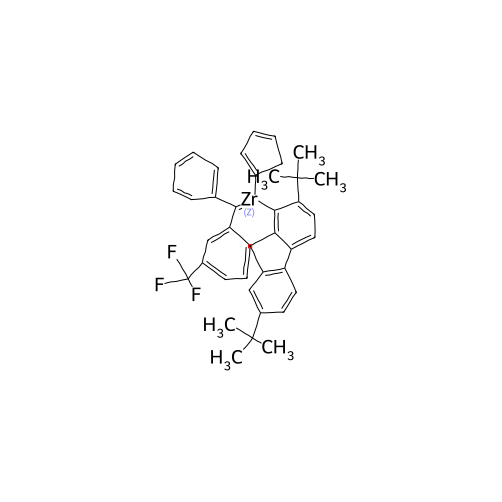 CC(C)(C)c1ccc2c(c1)Cc1c-2ccc(C(C)(C)C)[c]1/[Zr]([C]1=CC=CC1)=[C](/c1ccccc1)c1cccc(C(F)(F)F)c1